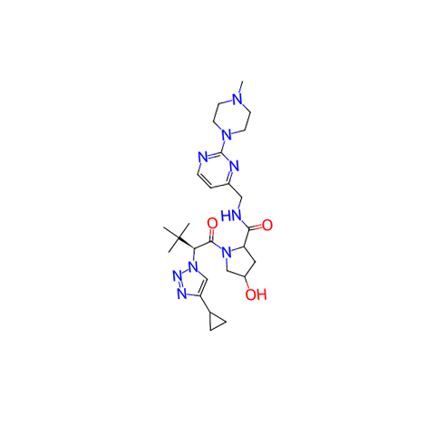 CN1CCN(c2nccc(CNC(=O)C3CC(O)CN3C(=O)[C@@H](n3cc(C4CC4)nn3)C(C)(C)C)n2)CC1